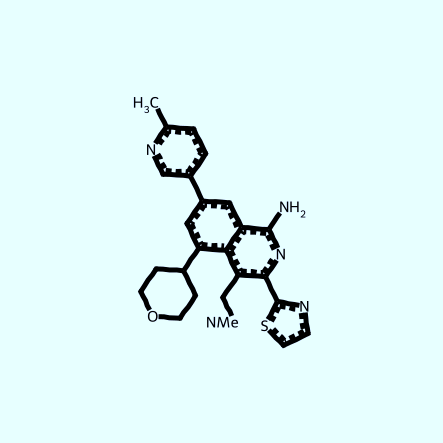 CNCc1c(-c2nccs2)nc(N)c2cc(-c3ccc(C)nc3)cc(C3CCOCC3)c12